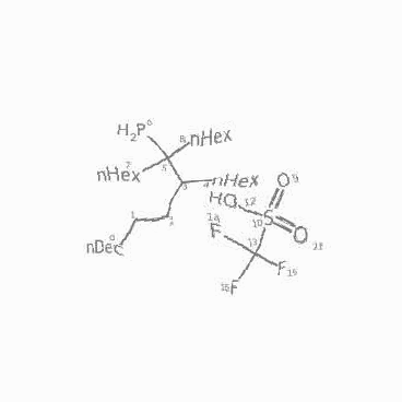 CCCCCCCCCCCCC(CCCCCC)C(P)(CCCCCC)CCCCCC.O=S(=O)(O)C(F)(F)F